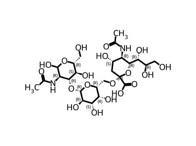 CC(=O)N[C@H]1[C@H]([C@H](O)[C@H](O)CO)O[C@@](OC[C@H]2O[C@@H](O[C@H]3[C@H](O)[C@@H](CO)OC(O)[C@@H]3NC(C)=O)[C@H](O)[C@@H](O)[C@H]2O)(C(=O)O)C[C@@H]1O